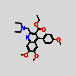 CCOC(=O)c1c(CN(CC)CC)nc2cc(OC)c(OC)cc2c1-c1ccc(OC)cc1